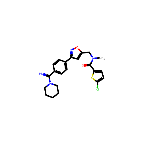 CN(Cc1cc(-c2ccc(C(=N)N3CCCCC3)cc2)no1)C(=O)c1ccc(Cl)s1